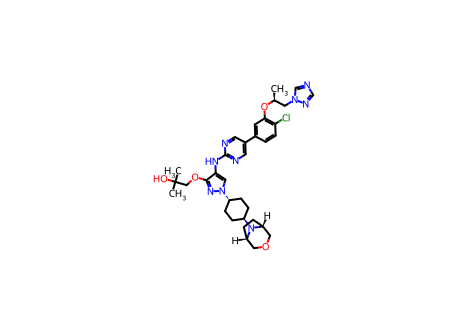 C[C@@H](Cn1cncn1)Oc1cc(-c2cnc(Nc3cn([C@H]4CC[C@H](N5[C@@H]6CC[C@H]5COC6)CC4)nc3OCC(C)(C)O)nc2)ccc1Cl